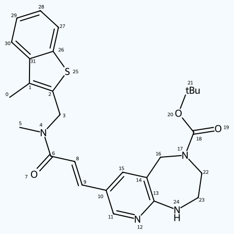 Cc1c(CN(C)C(=O)C=Cc2cnc3c(c2)CN(C(=O)OC(C)(C)C)CCN3)sc2ccccc12